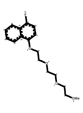 COCCOCCOCCOc1ccc(F)c2ccccc12